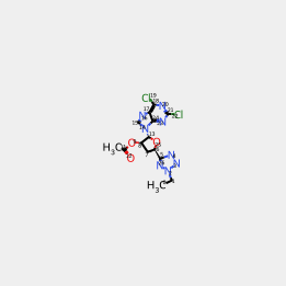 CCn1nnc([C@H]2[CH][C@@H](OC(C)=O)[C@H](n3cnc4c(Cl)nc(Cl)nc43)O2)n1